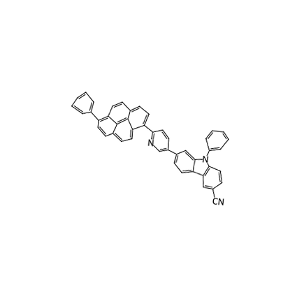 N#Cc1ccc2c(c1)c1ccc(-c3ccc(-c4ccc5ccc6c(-c7ccccc7)ccc7ccc4c5c76)nc3)cc1n2-c1ccccc1